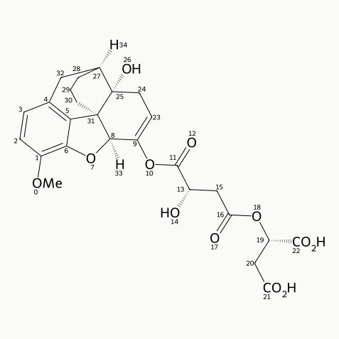 COc1ccc2c3c1O[C@@H]1C(OC(=O)[C@@H](O)CC(=O)O[C@@H](CC(=O)O)C(=O)O)=CC[C@]4(O)[C@@H](CCC[C@@]314)C2